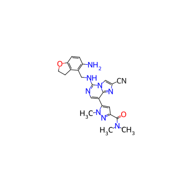 CN(C)C(=O)c1cc(-c2cnc(NCc3c(N)ccc4c3CCO4)n3cc(C#N)nc23)n(C)n1